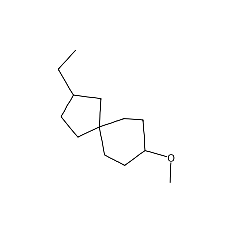 CCC1CCC2(CCC(OC)CC2)C1